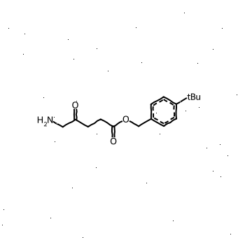 CC(C)(C)c1ccc(COC(=O)CCC(=O)CN)cc1